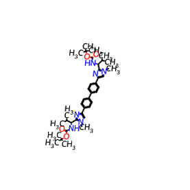 CC(C)[C@H](NC(=O)OC(C)(C)C)c1nc(-c2ccc(-c3ccc(-c4cn(C)c([C@@H](NC(=O)OC(C)(C)C)C(C)C)n4)cc3)cc2)cn1C